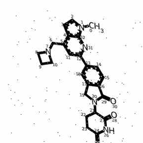 Cn1ccc2c(CN3CCC3)cc(-c3ccc4c(c3)CN(C3CCC(=O)NC3=O)C4=O)nc21